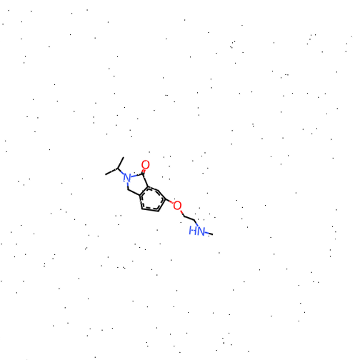 CNCCOc1ccc2c(c1)C(=O)N(C(C)C)C2